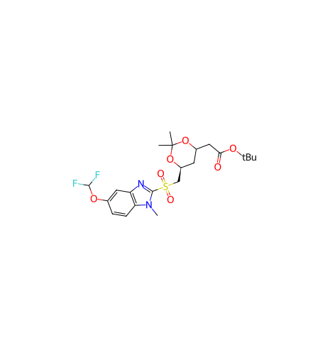 Cn1c(S(=O)(=O)C[C@@H]2CC(CC(=O)OC(C)(C)C)OC(C)(C)O2)nc2cc(OC(F)F)ccc21